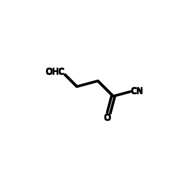 N#CC(=O)CCC=O